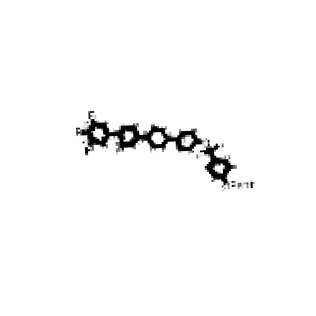 CCCCCc1ccc(C(F)(F)OC2CCC(C3CCC(c4ccc(-c5cc(F)c(F)c(F)c5)c(F)c4)CC3)CC2)cc1